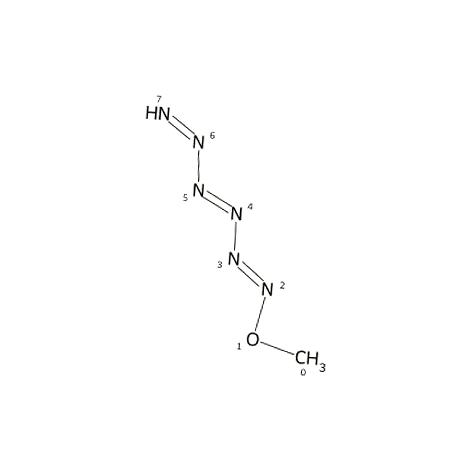 CON=NN=NN=N